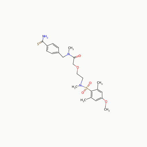 COc1cc(C)c(S(=O)(=O)N(C)CCOCC(=O)N(C)Cc2ccc(C(N)=S)cc2)c(C)c1